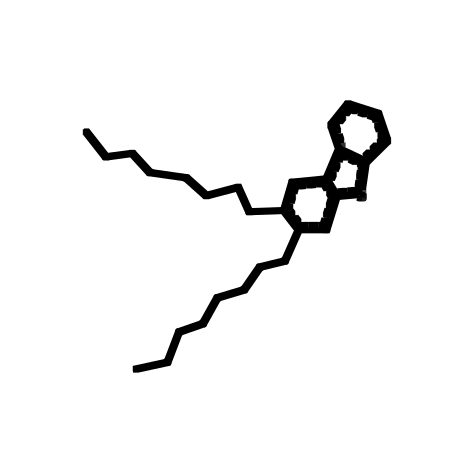 CCCCCCCCc1cc2sc3ccccc3c2cc1CCCCCCCC